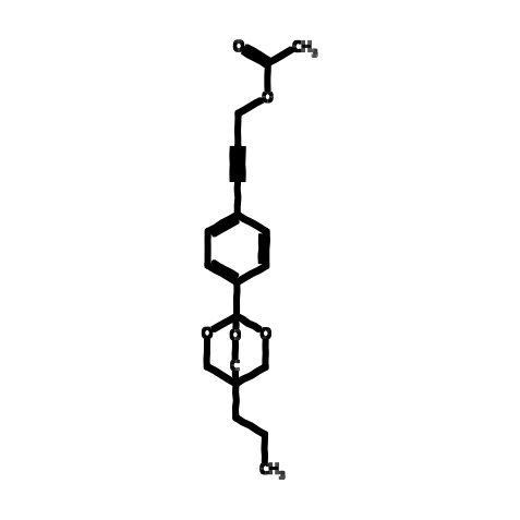 CCCC12COC(c3ccc(C#CCOC(C)=O)cc3)(OC1)OC2